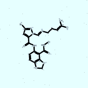 CCNC(=O)c1c(NC(=O)c2cc(Br)nn2/C=N/CC/C=C(\C)Cl)ccc2c1OCO2